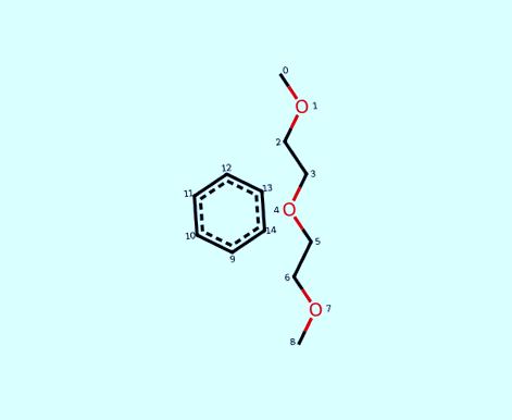 COCCOCCOC.c1ccccc1